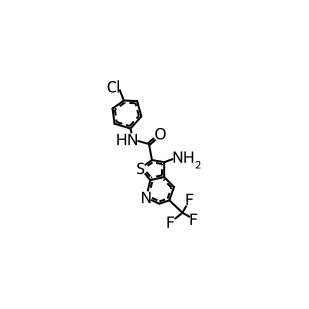 Nc1c(C(=O)Nc2ccc(Cl)cc2)sc2ncc(C(F)(F)F)cc12